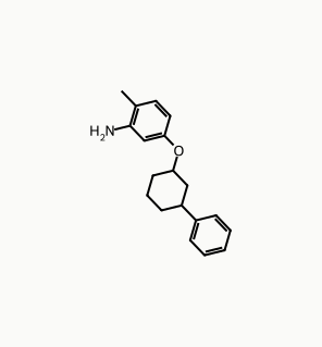 Cc1ccc(OC2CCCC(c3ccccc3)C2)cc1N